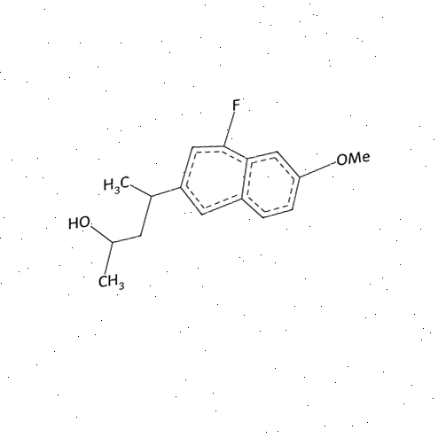 COc1ccc2cc(C(C)CC(C)O)cc(F)c2c1